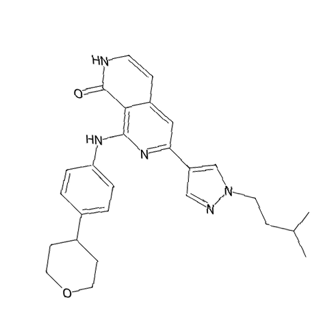 CC(C)CCn1cc(-c2cc3cc[nH]c(=O)c3c(Nc3ccc(C4CCOCC4)cc3)n2)cn1